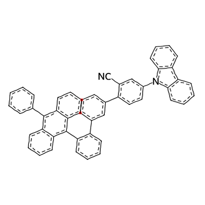 N#Cc1cc(-n2c3ccccc3c3ccccc32)ccc1-c1cccc(-c2ccccc2-c2c3ccccc3c(-c3ccccc3)c3ccccc23)c1